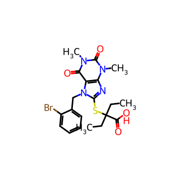 CCC(CC)(Sc1nc2c(c(=O)n(C)c(=O)n2C)n1Cc1ccccc1Br)C(=O)O